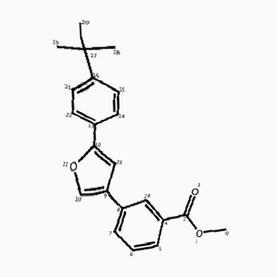 COC(=O)c1cccc(-c2coc(-c3ccc(C(C)(C)C)cc3)c2)c1